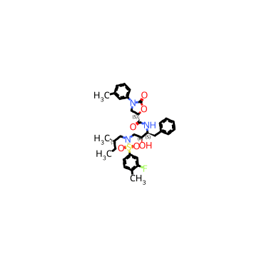 CC[C@H](C)CN(C[C@@H](O)[C@H](Cc1ccccc1)NC(=O)[C@@H]1CN(c2cccc(C)c2)C(=O)O1)S(=O)(=O)c1ccc(C)c(F)c1